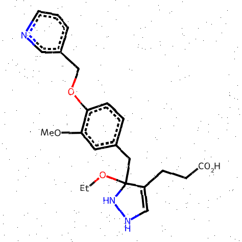 CCOC1(Cc2ccc(OCc3cccnc3)c(OC)c2)NNC=C1CCC(=O)O